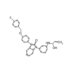 C=CC(O)Nc1cccc(-n2c(=O)n(-c3ccc(OCc4ccc(F)cc4)cc3)c3cnccc32)c1